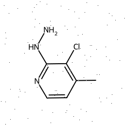 Cc1ccnc(NN)c1Cl